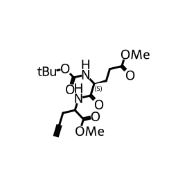 C#CCC(NC(=O)[C@H](CCC(=O)OC)NC(=O)OC(C)(C)C)C(=O)OC